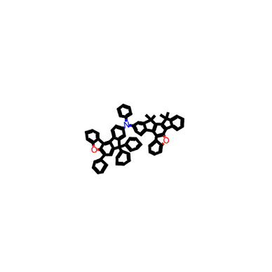 CC1(C)c2ccccc2-c2c1c1c(c3c2oc2ccccc23)-c2ccc(N(c3ccccc3)c3ccc4c(c3)C(c3ccccc3)(c3ccccc3)c3cc(-c5ccccc5)c5oc6ccccc6c5c3-4)cc2C1(C)C